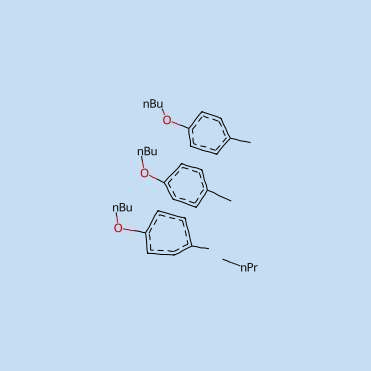 CCCC.CCCCOc1ccc(C)cc1.CCCCOc1ccc(C)cc1.CCCCOc1ccc(C)cc1